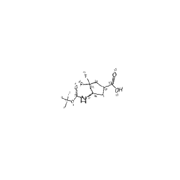 CC(C)(C)OC(=O)NC1CC(C(=O)O)CC1(F)F